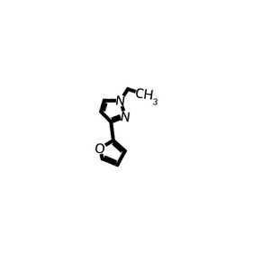 CCn1ccc(-c2ccco2)n1